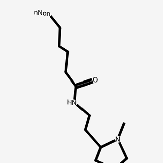 CCCCCCCCCCCCCC(=O)NCCC1CCCN1C